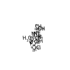 COC(=O)c1c(-c2c(F)cccc2Cl)c[nH]c1-c1cnn(C2CC(C)(O)C2)c1C(F)(F)F